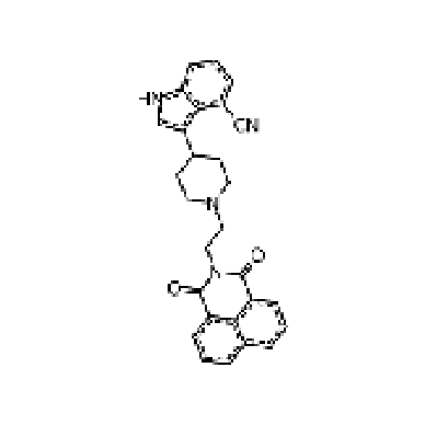 N#Cc1cccc2[nH]cc(C3CCN(CCN4C(=O)c5cccc6cccc(c56)C4=O)CC3)c12